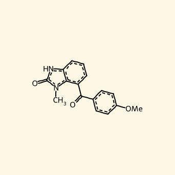 COc1ccc(C(=O)c2cccc3[nH]c(=O)n(C)c23)cc1